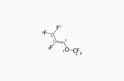 FC(=COC(F)(F)F)C(F)F